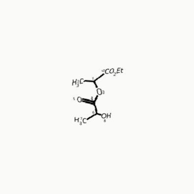 CCOC(=O)C(C)OC(=O)C(C)O